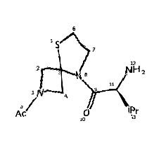 CC(=O)N1CC2(C1)SCCN2C(=O)[C@@H](N)C(C)C